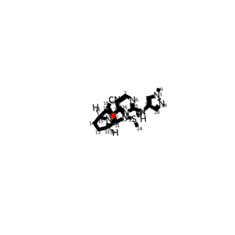 Cn1cc(Nc2nccc(N3C[C@H]4CC[C@@H](C3)N4C3(CC#N)CN([S+](C)[O-])C3)n2)cn1